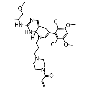 C=CC(=O)N1CCN(CCCN2C=C(c3c(Cl)c(OC)cc(OC)c3Cl)CC3=CN=C(NC(C)COC)N[C@H]32)CC1